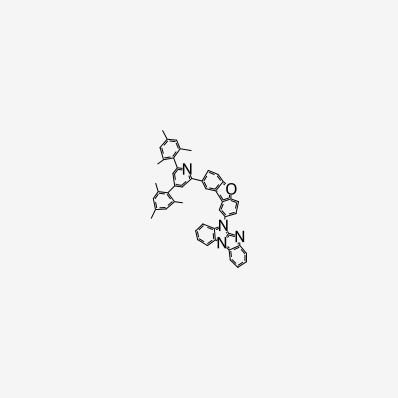 Cc1cc(C)c(-c2cc(-c3ccc4oc5ccc(-n6c7ccccc7n7c8ccccc8nc67)cc5c4c3)nc(-c3c(C)cc(C)cc3C)c2)c(C)c1